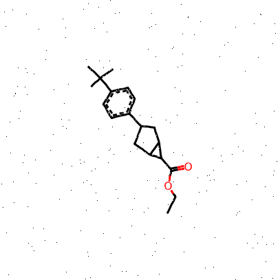 CCOC(=O)C1C2CC(c3ccc(C(C)(C)C)cc3)CC21